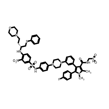 Cc1c(C(=O)NC[SH](=O)=O)c(-c2cccc(N3CCN(c4ccc(NS(=O)(=O)c5ccc(N[C@H](CCN6CCOCC6)CSc6ccccc6)c([N+](=O)[O-])c5)cc4)CC3)c2)c(-c2ccc(F)cc2)n1C